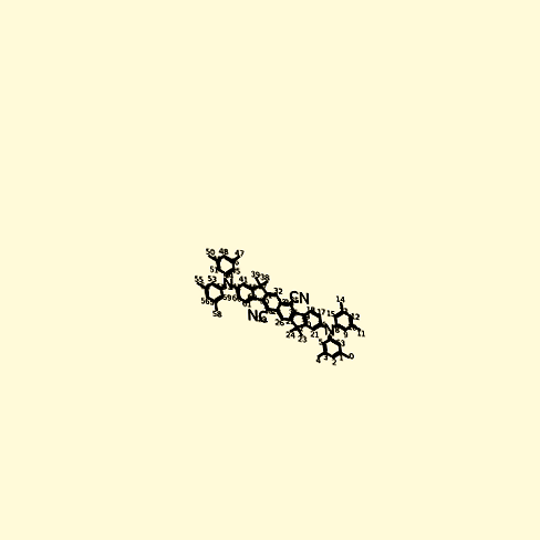 Cc1cc(C)cc(N(c2cc(C)cc(C)c2)c2ccc3c(c2)C(C)(C)c2cc4c(C#N)c5c(cc4c(C#N)c2-3)C(C)(C)c2cc(N(c3cc(C)cc(C)c3)c3cc(C)cc(C)c3)ccc2-5)c1